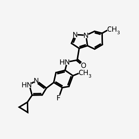 Cc1ccc2c(C(=O)Nc3cc(-c4cc(C5CC5)[nH]n4)c(F)cc3C)cnn2c1